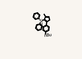 CCCCc1ccc(C2=C([SiH](c3ccccc3)c3ccccc3)C(C)=CC2)cc1